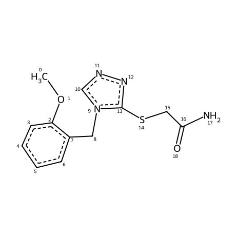 COc1ccccc1Cn1cnnc1SCC(N)=O